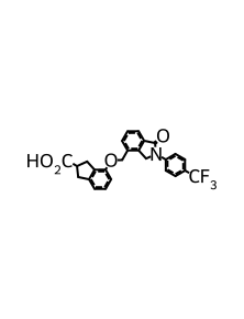 O=C(O)C1Cc2cccc(OCc3cccc4c3CN(c3ccc(C(F)(F)F)cc3)C4=O)c2C1